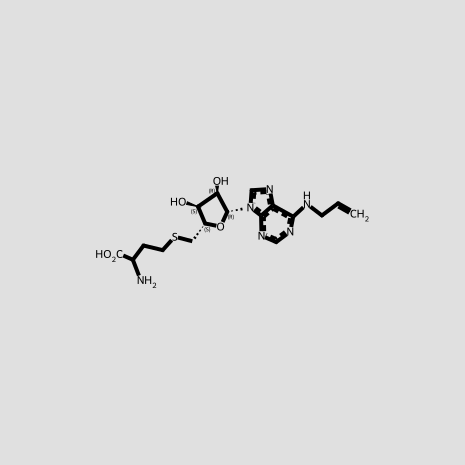 C=CCNc1ncnc2c1ncn2[C@@H]1O[C@H](CSCCC(N)C(=O)O)[C@@H](O)[C@H]1O